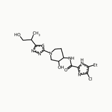 CCc1[nH]c(C(=O)NC2CCN(c3nnc(C(C)CO)s3)CC2O)nc1Cl